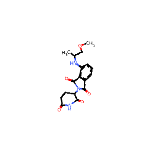 COCC(C)Nc1cccc2c1C(=O)N(C1CCC(=O)NC1=O)C2=O